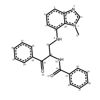 Cn1cnc2cccc(NCC(NC(=O)c3ccccc3)C(=O)c3ccccc3)c21